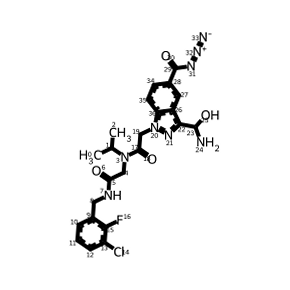 CC(C)N(CC(=O)NCc1cccc(Cl)c1F)C(=O)Cn1nc(C(N)O)c2cc(C(=O)N=[N+]=[N-])ccc21